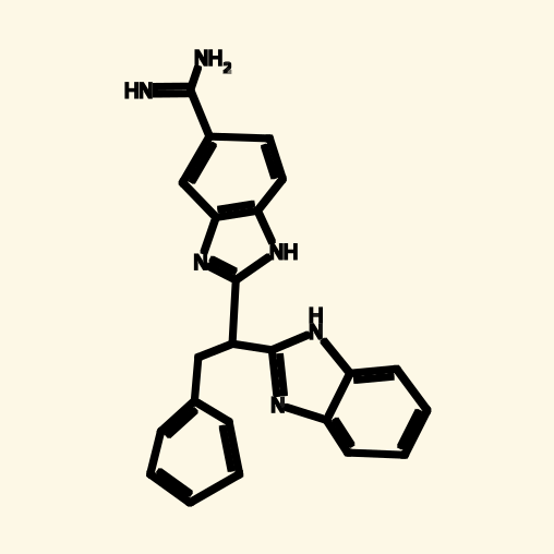 N=C(N)c1ccc2[nH]c(C(Cc3ccccc3)c3nc4ccccc4[nH]3)nc2c1